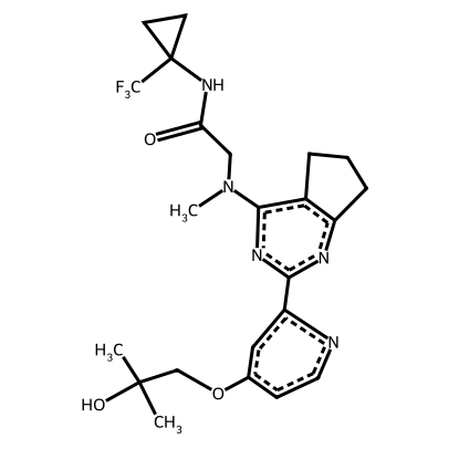 CN(CC(=O)NC1(C(F)(F)F)CC1)c1nc(-c2cc(OCC(C)(C)O)ccn2)nc2c1CCC2